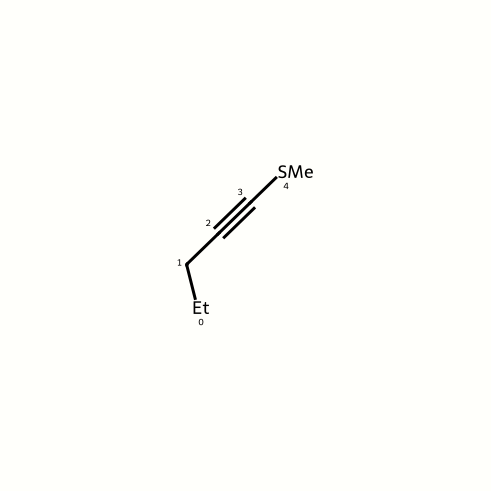 CCCC#CSC